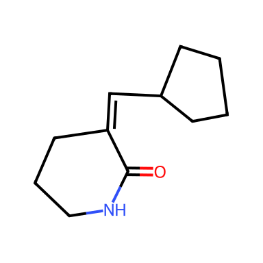 O=C1NCCC/C1=C/C1CCCC1